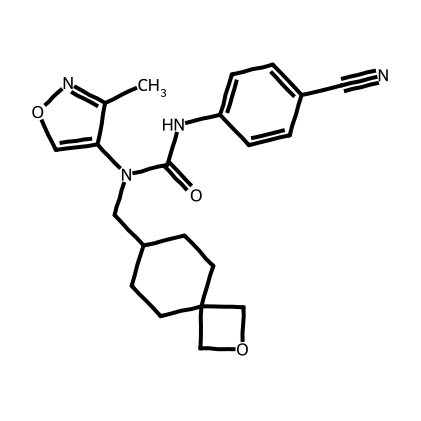 Cc1nocc1N(CC1CCC2(CC1)COC2)C(=O)Nc1ccc(C#N)cc1